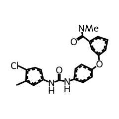 CNC(=O)c1cccc(Oc2ccc(NC(=O)Nc3ccc(Cl)c(C)c3)cc2)c1